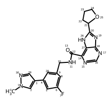 Cn1cc(-c2cc(F)cc(CNC(=O)c3ncnc4nc(C5CCCO5)[nH]c34)c2)cn1